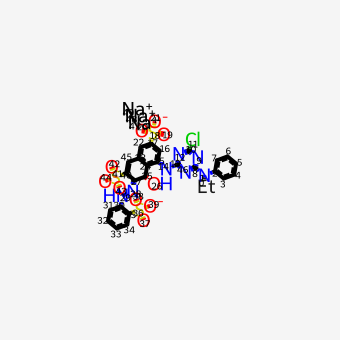 CCN(c1ccccc1)c1nc(Cl)nc(Nc2cc(S(=O)(=O)[O-])cc3c2C(=O)/C(=N/Nc2ccccc2S(=O)(=O)[O-])C(S(=O)(=O)[O-])=C3)n1.[Na+].[Na+].[Na+]